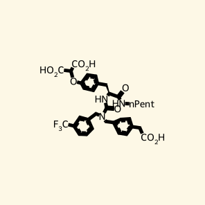 CCCCCNC(=O)[C@H](Cc1ccc(OC(C(=O)O)C(=O)O)cc1)NC(=O)N(Cc1ccc(CC(=O)O)cc1)Cc1cccc(C(F)(F)F)c1